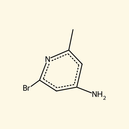 Cc1cc(N)cc(Br)n1